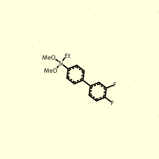 CC[Si](OC)(OC)c1ccc(-c2ccc(F)c(F)c2)cc1